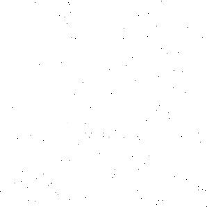 c1ccc(ON2CC2)cc1